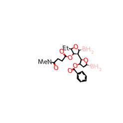 B[C@@H]1O[C@H](CC)C(OC(=O)CCC(=O)NC)[C@@H]1[C@H]1O[C@@H](B)CC1OC(=O)c1ccccc1